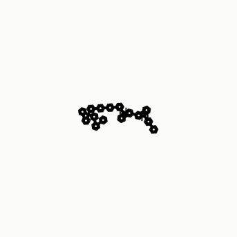 c1ccc(-c2ccc(-n3c4ccccc4c4cc(-c5ccc6c(c5)c5ccccc5n6-c5cccc(-c6ccc(-c7ccc(-c8cccc(C9(c%10cccc(-c%11ccccc%11-c%11ccccc%11)c%10)c%10ccccc%10-c%10ccccc%109)c8)cc7)cc6)c5)ccc43)cc2)cc1